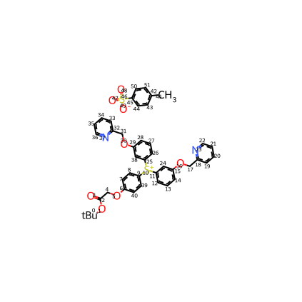 CC(C)(C)OC(=O)COc1ccc([S+](c2cccc(OCc3ccccn3)c2)c2cccc(OCc3ccccn3)c2)cc1.Cc1ccc(S(=O)(=O)[O-])cc1